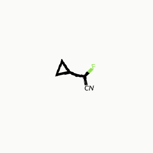 N#CC(F)C1CC1